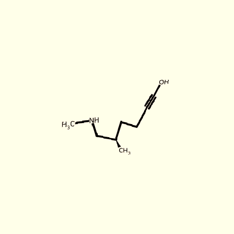 CNC[C@H](C)CCC#CO